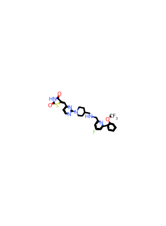 O=C1NC(=O)/C(=C/c2ccnc(N3CCC(CNCc4cc(F)cc(-c5ccccc5OC(F)(F)F)n4)CC3)n2)S1